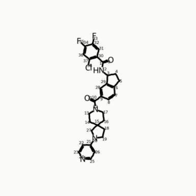 O=C(NC1CCc2ccc(C(=O)N3CCC4(CC3)CCN(c3ccncc3)C4)cc21)c1cc(F)c(F)cc1Cl